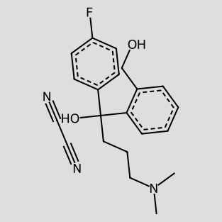 CN(C)CCCC(O)(c1ccc(F)cc1)c1ccccc1CO.N#CC#N